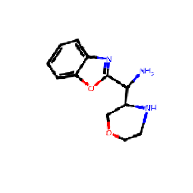 NC(c1nc2ccccc2o1)C1COCCN1